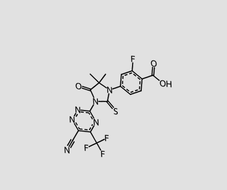 CC1(C)C(=O)N(c2nnc(C#N)c(C(F)(F)F)n2)C(=S)N1c1ccc(C(=O)O)c(F)c1